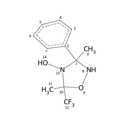 CC1(c2ccccc2)NOC(C)(C(F)(F)F)N1O